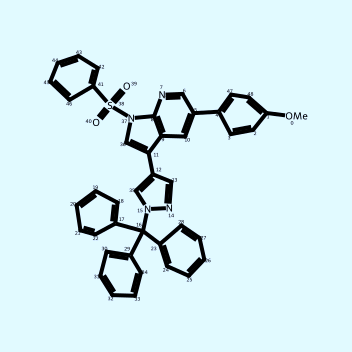 COc1ccc(-c2cnc3c(c2)c(-c2cnn(C(c4ccccc4)(c4ccccc4)c4ccccc4)c2)cn3S(=O)(=O)c2ccccc2)cc1